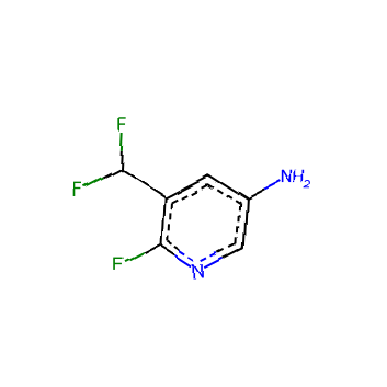 Nc1cnc(F)c(C(F)F)c1